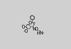 CNCCON=C1C2CC(OC)=C(OC)C=C2OC2(c3ccccc3)CC12